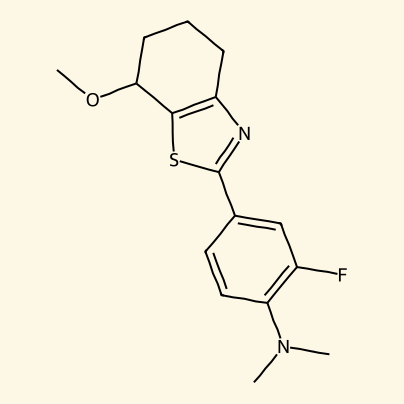 COC1CCCc2nc(-c3ccc(N(C)C)c(F)c3)sc21